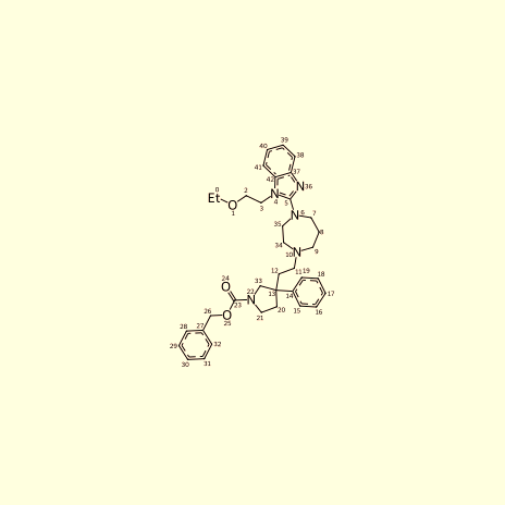 CCOCCn1c(N2CCCN(CCC3(c4ccccc4)CCN(C(=O)OCc4ccccc4)C3)CC2)nc2ccccc21